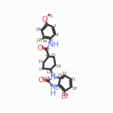 COc1ccc(NC(=O)C2CCC(n3c(=O)[nH]c4c(Br)cccc43)CC2)c(F)c1